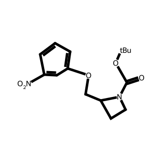 CC(C)(C)OC(=O)N1CCC1COc1cccc([N+](=O)[O-])c1